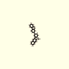 Cn1c2ccc(-c3ccc4c(c3)sc3ccccc34)cc2c2cc3ccccc3cc21